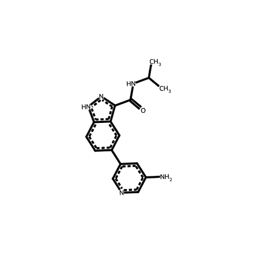 CC(C)NC(=O)c1n[nH]c2ccc(-c3cncc(N)c3)cc12